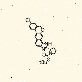 CC(C)(C)OC(=O)N1CCC[C@H]1c1nc2ccc3cc4c(cc3c2[nH]1)OCc1cc(Cl)ccc1-4